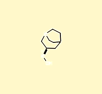 O/N=C1\CC2CCN(CC2)C1